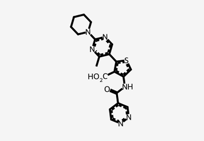 Cc1nc(N2CCCCC2)ncc1-c1scc(NC(=O)c2ccnnc2)c1C(=O)O